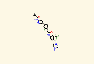 O=C(CCc1ccc(-c2ccc(NC(=O)C3CC3)nc2)cc1F)Nc1ccc(CN2CCNCC2)c(C(F)(F)F)c1